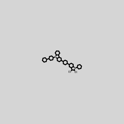 CCC1C2CC(C3CCC(C4CCC5C(C4)C4CCCCC4N5C4CCC(C5CCCCC5)CC4)CC3)CCC2N(C2CCCCC2)C1CC